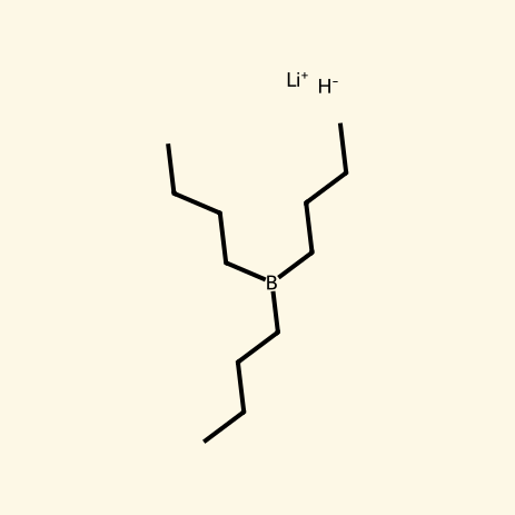 CCCCB(CCCC)CCCC.[H-].[Li+]